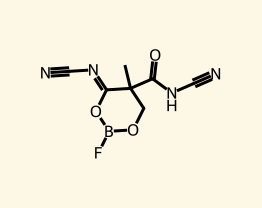 CC1(C(=O)NC#N)COB(F)O/C1=N\C#N